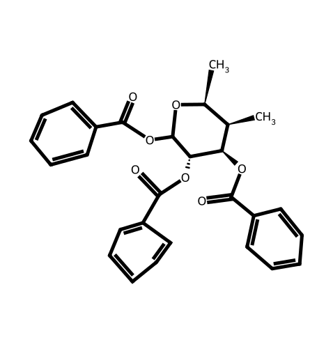 C[C@H]1[C@@H](OC(=O)c2ccccc2)[C@H](OC(=O)c2ccccc2)C(OC(=O)c2ccccc2)O[C@H]1C